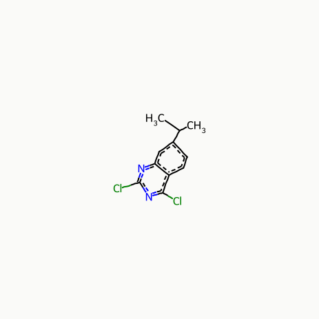 CC(C)c1ccc2c(Cl)nc(Cl)nc2c1